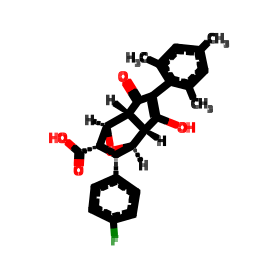 Cc1cc(C)c(C2=C(O)[C@@H]3[C@@H]4O[C@@H]([C@@H](C(=O)O)[C@H]4c4ccc(F)cc4)[C@@H]3C2=O)c(C)c1